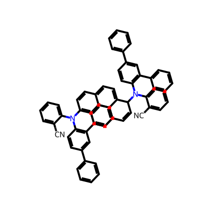 N#Cc1ccccc1N(C1=C2C=CC3=C4C(=CC=C(C=C1)C24)C(N(c1ccccc1C#N)c1ccc(-c2ccccc2)cc1-c1ccccc1)C=C3)c1ccc(-c2ccccc2)cc1-c1ccccc1